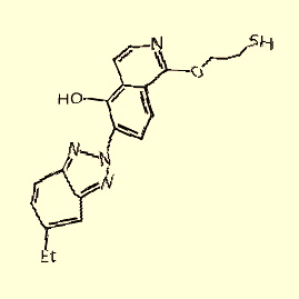 CCc1ccc2nn(-c3ccc4c(OCCS)nccc4c3O)nc2c1